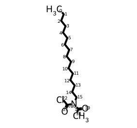 CCCCCCCCCCCCCCCCN(C(C)=O)C(=O)Cl